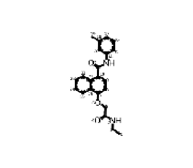 CCNC(=O)COc1ccc(C(=O)Nc2cccc(C)c2)c2ccccc12